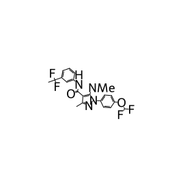 CNc1c(C(=O)Nc2cccc(C(C)(F)F)c2)c(C)nn1-c1ccc(OC(F)F)cc1